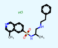 Cc1cncc2ccc(S(=O)(=O)NC(C)CNCCc3ccccc3)cc12.Cl